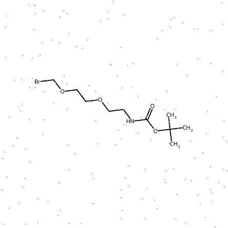 CC(C)(C)OC(=O)NCCOCCOCBr